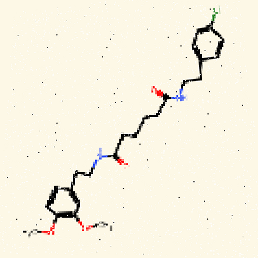 COc1ccc(CCNC(=O)CCCCC(=O)NCCc2ccc(Cl)cc2)cc1OC